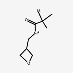 CCC(C)(C)C(=O)NCC1COC1